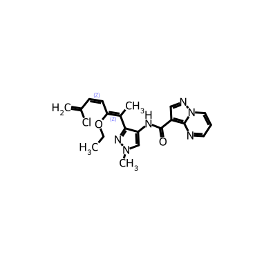 C=C(Cl)/C=C\C(OCC)=C(/C)c1nn(C)cc1NC(=O)c1cnn2cccnc12